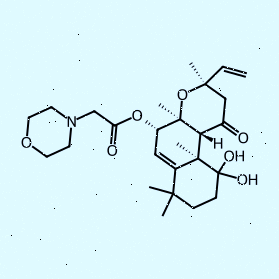 C=C[C@@]1(C)CC(=O)[C@H]2[C@](C)(O1)[C@@H](OC(=O)CN1CCOCC1)C=C1C(C)(C)CCC(O)(O)[C@@]12C